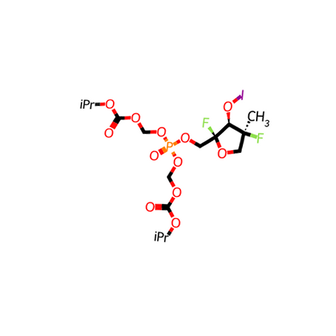 CC(C)OC(=O)OCOP(=O)(OCOC(=O)OC(C)C)OC[C@@]1(F)OC[C@](C)(F)[C@@H]1OI